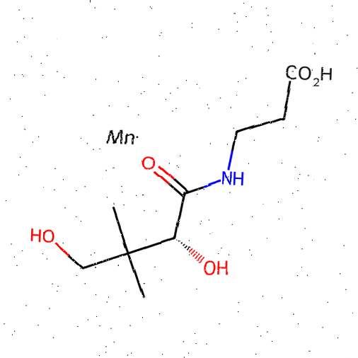 CC(C)(CO)[C@@H](O)C(=O)NCCC(=O)O.[Mn]